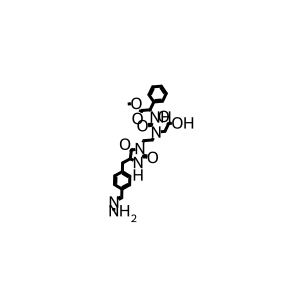 COC(=O)C(NC(=O)N(CCN1C(=O)NC(Cc2ccc(C=NN)cc2)C1=O)CC(=O)O)c1ccccc1